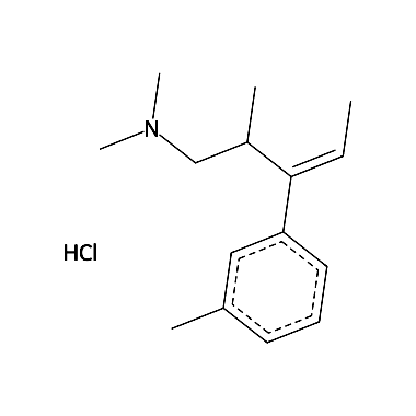 CC=C(c1cccc(C)c1)C(C)CN(C)C.Cl